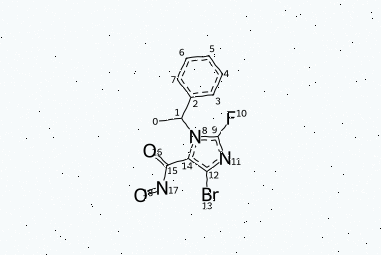 CC(c1ccccc1)n1c(F)nc(Br)c1C(=O)N=O